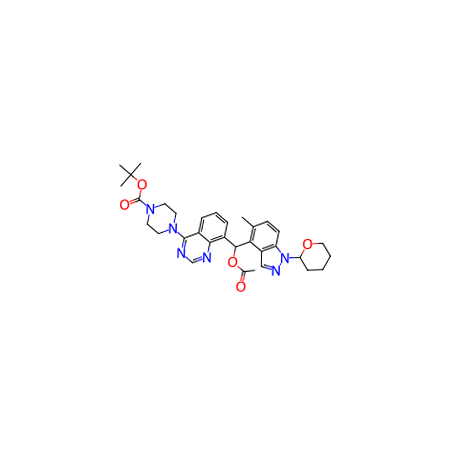 CC(=O)OC(c1c(C)ccc2c1cnn2C1CCCCO1)c1cccc2c(N3CCN(C(=O)OC(C)(C)C)CC3)ncnc12